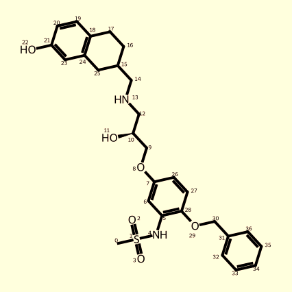 CS(=O)(=O)Nc1cc(OC[C@@H](O)CNCC2CCc3ccc(O)cc3C2)ccc1OCc1ccccc1